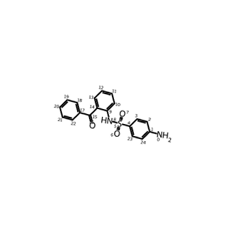 Nc1ccc(S(=O)(=O)Nc2ccccc2C(=O)c2ccccc2)cc1